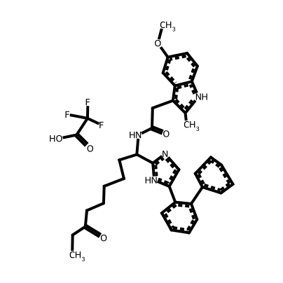 CCC(=O)CCCCCC(NC(=O)Cc1c(C)[nH]c2ccc(OC)cc12)c1ncc(-c2ccccc2-c2ccccc2)[nH]1.O=C(O)C(F)(F)F